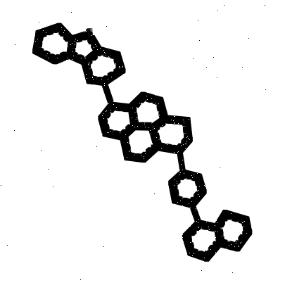 c1ccc2c(-c3ccc(-c4ccc5ccc6c(-c7ccc8sc9ccccc9c8c7)ccc7ccc4c5c76)cc3)cccc2c1